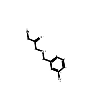 O=C(CBr)COCc1cccc(Br)c1